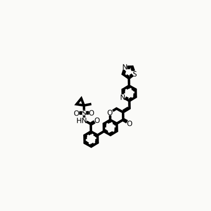 CC1(S(=O)(=O)NC(=O)c2ccccc2-c2ccc3c(c2)OC/C(=C\c2ccc(-c4cncs4)cn2)C3=O)CC1